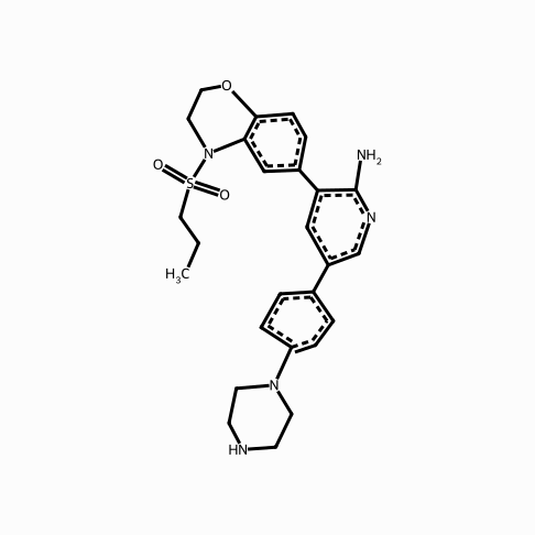 CCCS(=O)(=O)N1CCOc2ccc(-c3cc(-c4ccc(N5CCNCC5)cc4)cnc3N)cc21